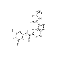 CC(NC(=O)c1ncn2c1CN(C(=O)Nc1cc(F)nc(F)c1)CC2)C(F)(F)F